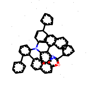 C1=CC(c2ccccc2)CC=C1N(c1ccccc1-c1cccc2ccccc12)c1cccc(-c2ccccc2)c1-c1ccc2ccc3oc(-c4ccccc4)nc3c2c1